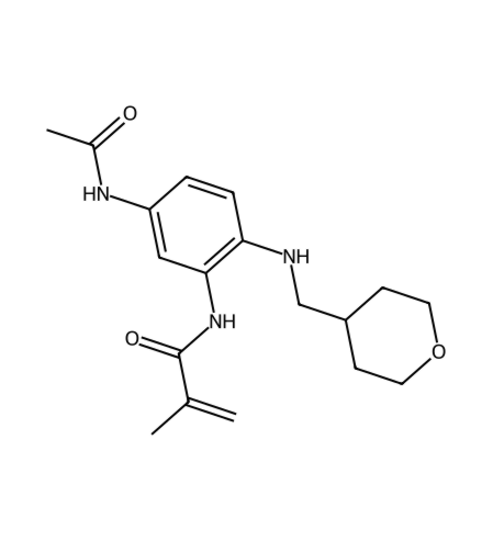 C=C(C)C(=O)Nc1cc(NC(C)=O)ccc1NCC1CCOCC1